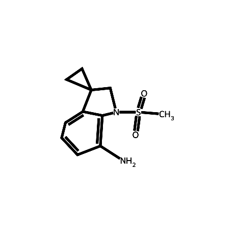 CS(=O)(=O)N1CC2(CC2)c2cccc(N)c21